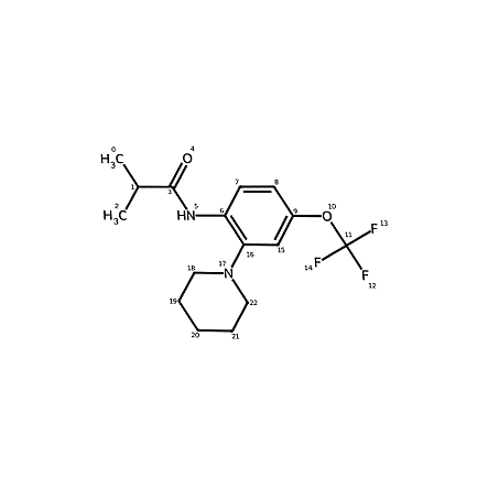 CC(C)C(=O)Nc1ccc(OC(F)(F)F)cc1N1CCCCC1